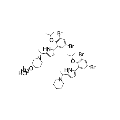 CC(C)Oc1c(Br)cc(Br)cc1-c1ccc(C(C)N2CCCCC2)[nH]1.CC(C)Oc1c(Br)cc(Br)cc1-c1ccc(C(C)N2CCCCC2)[nH]1.Cl.Cl.O